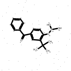 CC(C)(C)c1cc(C(=O)c2ccccc2)ccc1OP(O)O